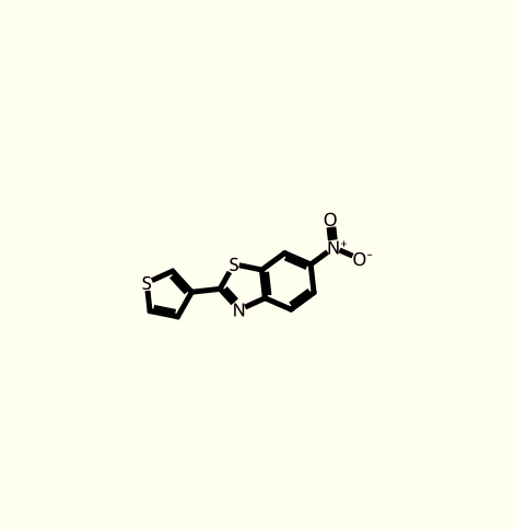 O=[N+]([O-])c1ccc2nc(-c3ccsc3)sc2c1